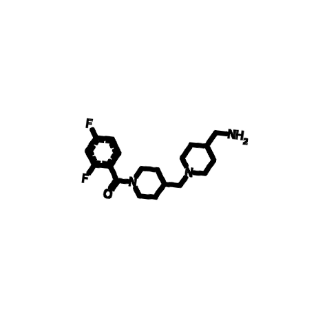 NCC1CCN(CC2CCN(C(=O)c3ccc(F)cc3F)CC2)CC1